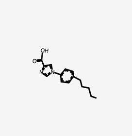 CCCCCc1ccc(-n2cnc(C(=O)O)c2)cc1